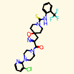 O=C(C1=NOC2(CCN(C(=S)Nc3ccccc3C(F)(F)F)CC2)C1)N1CCN(c2ncccc2Cl)CC1